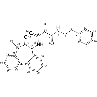 CC(C(=O)NCCc1ccccc1)C(=O)NC1C(=O)N(C)c2ccccc2-c2ccccc21